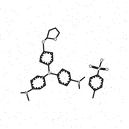 CN(C)c1ccc([S+](c2ccc(OC3CCCO3)cc2)c2ccc(N(C)C)cc2)cc1.Cc1ccc(S(=O)(=O)[O-])cc1